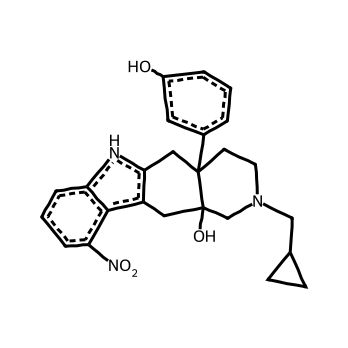 O=[N+]([O-])c1cccc2[nH]c3c(c12)CC1(O)CN(CC2CC2)CCC1(c1cccc(O)c1)C3